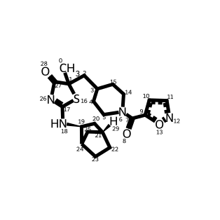 CC1(CC2CCN(C(=O)c3ccno3)CC2)SC(N[C@H]2C[C@@H]3CCC2C3)=NC1=O